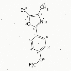 CCc1oc(-c2ccc(OC(F)(F)F)cc2)nc1C